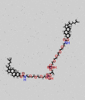 CC(C)CCCC(C)C1CCC2C3CC=C4C[C@H](OC(=O)NCCOCCOCCOCCOCCOP(=O)(O)OCC(C)COP(=O)(O)OCCOCCOCCOCCNC(=O)O[C@@H]5CC[C@]6(C)C(=CCC7C8CCC(C(C)CCCC(C)C)[C@]8(C)CCC76)C5)CC[C@@]4(C)C3CC[C@@]12C